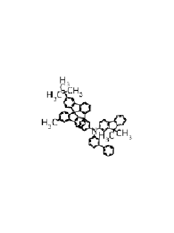 Cc1ccc2c(c1)-c1ccccc1C21c2ccc(C(C)(C)C)cc2-c2cccc(-c3cccc(N(c4cccc(-c5ccccc5)c4)c4ccc5c(c4)C(C)(C)c4ccccc4-5)c3)c21